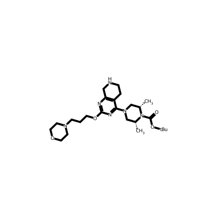 C[C@@H]1CN(c2nc(OCCCN3CCOCC3)nc3c2CCNC3)C[C@H](C)N1C(=O)OC(C)(C)C